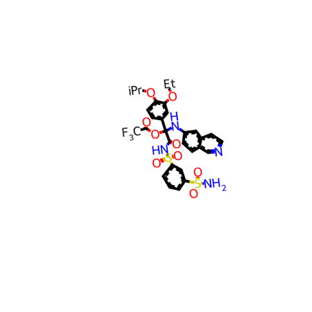 CCOc1cc(C(Nc2ccc3cnccc3c2)(OC(=O)C(F)(F)F)C(=O)NS(=O)(=O)c2cccc(S(N)(=O)=O)c2)ccc1OC(C)C